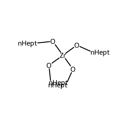 CCCCCCC[O][Zr]([O]CCCCCCC)([O]CCCCCCC)[O]CCCCCCC